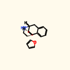 c1ccc2c(c1)C[C@H]1NCC[C@@]23CCCC[C@@H]13.c1ccoc1